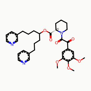 COc1cc(C(=O)C(=O)N2CCCC[C@H]2C(=O)OC(CCCc2cccnc2)CCCc2cccnc2)cc(OC)c1OC